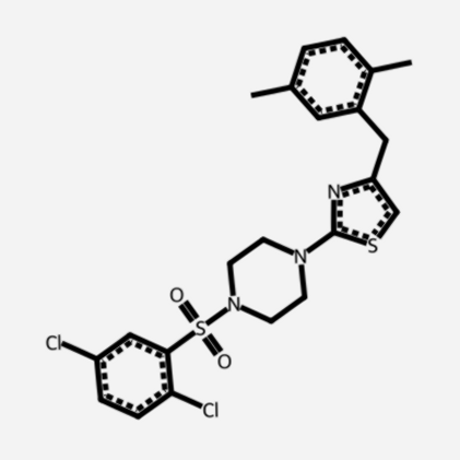 Cc1ccc(C)c(Cc2csc(N3CCN(S(=O)(=O)c4cc(Cl)ccc4Cl)CC3)n2)c1